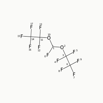 F[C](OC(F)(F)C(F)(F)F)OC(F)(F)C(F)(F)F